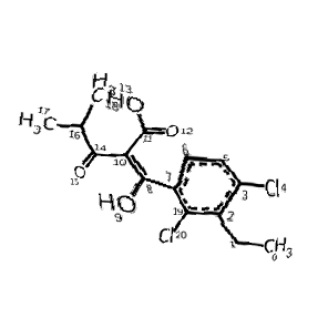 CCc1c(Cl)ccc(C(O)=C(C(=O)O)C(=O)C(C)C)c1Cl